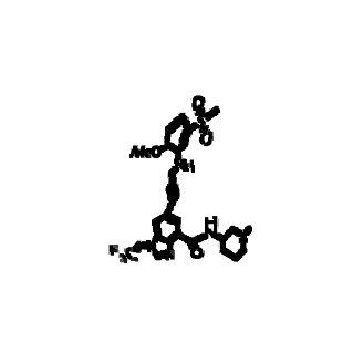 COc1ccc(S(C)(=O)=O)cc1NCC#Cc1cc(C(=O)NC2CCCN(C)C2)c2ncn(CC(F)(F)F)c2c1